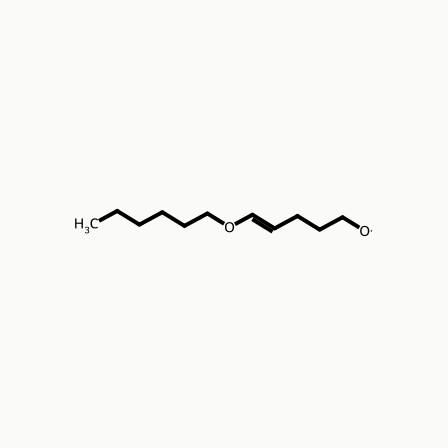 CCCCCCOC=CCCC[O]